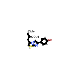 CO/C=C(/Cc1csc2nc(-c3ccc(Br)cc3)cn12)C(=O)O